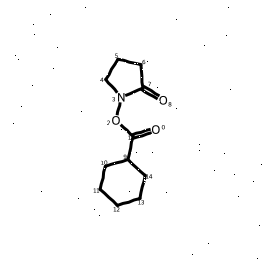 O=C(ON1CCCC1=O)C1CCCCC1